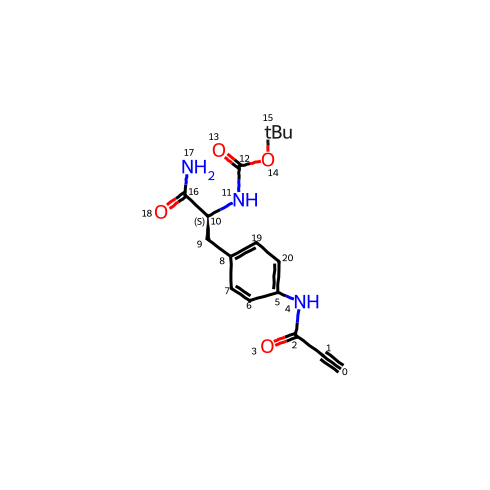 C#CC(=O)Nc1ccc(C[C@H](NC(=O)OC(C)(C)C)C(N)=O)cc1